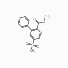 COC(=O)c1ncc(S(C)(=O)=O)cc1-c1ccncc1